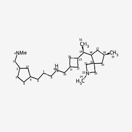 CNCC1CCC(CCCNCC2CC([C@@H](C)C3C[C@@H](C)CC34CN(C)C4)C2)C1